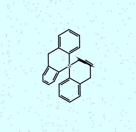 C1=CC2Cc3ccccc3[Si]3(c4ccccc4Cc4ccccc43)C2C=C1